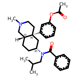 CC(=O)Oc1cccc([C@@]23CCN(C)C[C@H]2CC[C@@H](N(CC(C)C)C(=O)c2ccccc2)C3)c1